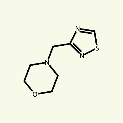 c1nc(CN2CCOCC2)ns1